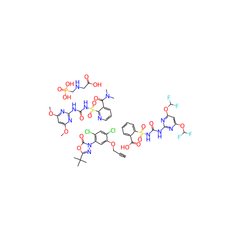 C#CCOc1cc(-n2nc(C(C)(C)C)oc2=O)c(Cl)cc1Cl.COc1cc(OC)nc(NC(=O)NS(=O)(=O)c2ncccc2C(=O)N(C)C)n1.O=C(Nc1nc(OC(F)F)cc(OC(F)F)n1)NS(=O)(=O)c1ccccc1C(=O)O.O=C(O)CNCP(=O)(O)O